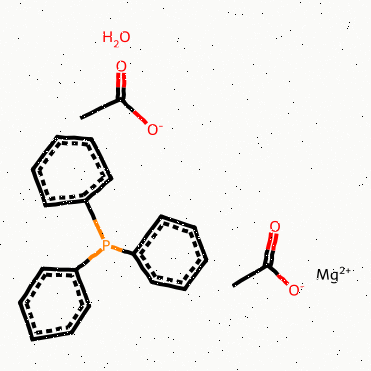 CC(=O)[O-].CC(=O)[O-].O.[Mg+2].c1ccc(P(c2ccccc2)c2ccccc2)cc1